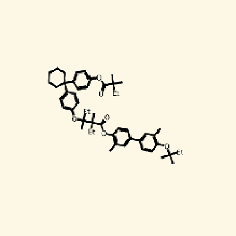 CCC(C)(C)Oc1ccc(-c2ccc(OC(=O)C(C)(CC)C(C)(CC)Oc3ccc(C4(c5ccc(OC(=O)C(C)(C)CC)cc5)CCCCC4)cc3)c(C)c2)cc1C